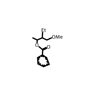 CCC(COC)C(C)OC(=O)c1ccccc1